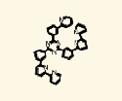 c1ccc(-c2cccc(-c3nc(-c4cccc(-c5cccc(-c6ccccn6)n5)c4)nc(-c4cccc(-c5cccc(-c6ccccn6)n5)c4)n3)c2)nc1